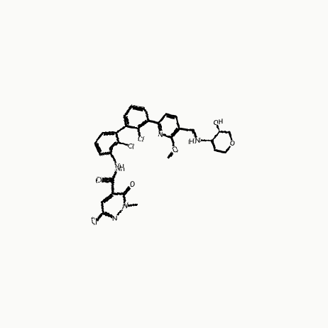 COc1nc(-c2cccc(-c3cccc(NC(=O)c4cc(Cl)nn(C)c4=O)c3Cl)c2Cl)ccc1CN[C@@H]1CCOC[C@@H]1O